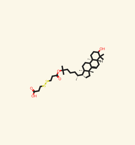 C[C@H](CCCC(C)(C)OC(=O)CCSSCCC(=O)O)[C@H]1CC[C@@]2(C)C3=CC[C@H]4C(C)(C)C(O)CC[C@]4(C)C3CC[C@]12C